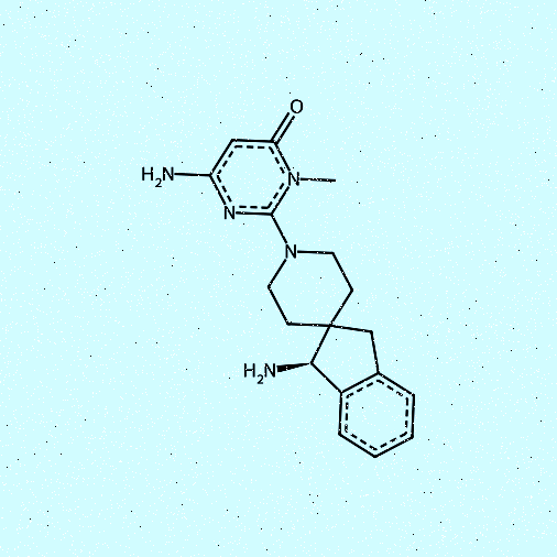 Cn1c(N2CCC3(CC2)Cc2ccccc2[C@H]3N)nc(N)cc1=O